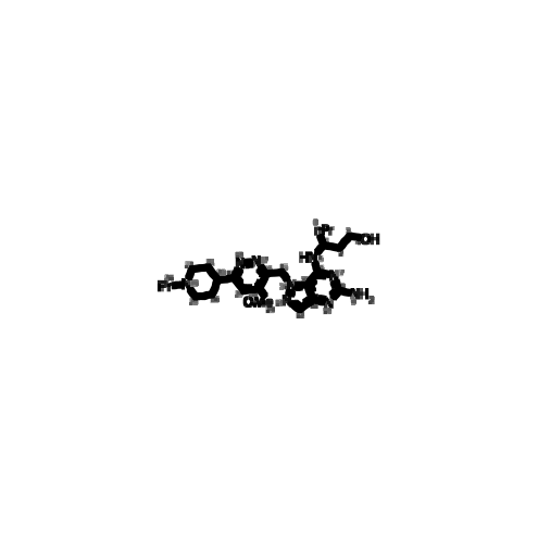 CCCC(CCO)Nc1nc(N)nc2cnn(Cc3nnc(C4CCN(C(C)C)CC4)cc3OC)c12